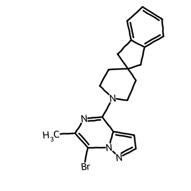 Cc1nc(N2CCC3(CC2)Cc2ccccc2C3)c2ccnn2c1Br